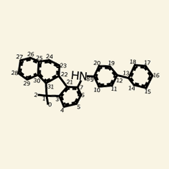 CC1(C)c2cccc(Nc3ccc(-c4ccccc4)cc3)c2-c2ccc3ccccc3c21